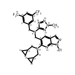 CCn1ncc2cc(CN(Cc3cc(C(F)(F)F)cc(C(F)(F)F)c3)c3nnn(C)n3)c(N(CC3CC3)CC3CC3)nc21